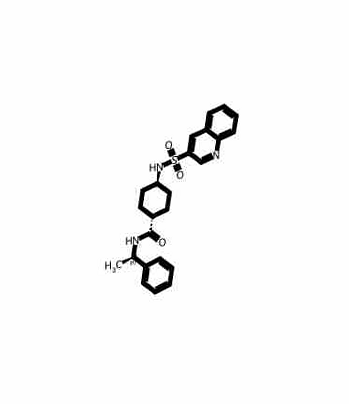 C[C@@H](NC(=O)[C@H]1CC[C@H](NS(=O)(=O)c2cnc3ccccc3c2)CC1)c1ccccc1